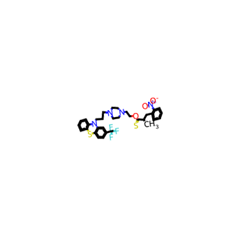 CC(Cc1ccccc1[N+](=O)[O-])C(=S)OCCN1CCN(CCCN2c3ccccc3Sc3ccc(C(F)(F)F)cc32)CC1